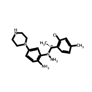 Cc1ccc([C@@H](C)N(N)c2cc(N3CCNCC3)ccc2N)c(Cl)c1